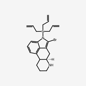 C=CC[Si](CC=C)(CC=C)n1c(Br)c2c3c(cccc31)C1CCCN[C@@H]1C2